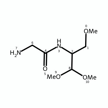 COCC(NC(=O)CN)C(OC)OC